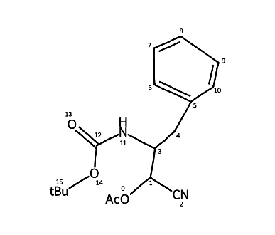 CC(=O)OC(C#N)C(Cc1ccccc1)NC(=O)OC(C)(C)C